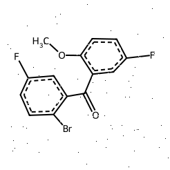 COc1ccc(F)cc1C(=O)c1cc(F)ccc1Br